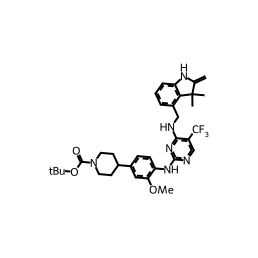 C=C1Nc2cccc(CNc3nc(Nc4ccc(C5CCN(C(=O)OC(C)(C)C)CC5)cc4OC)ncc3C(F)(F)F)c2C1(C)C